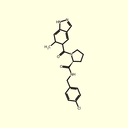 CC1C=c2[nH]ncc2=CC1C(=O)N1CCC[C@H]1C(=O)NCc1ccc(Cl)cc1